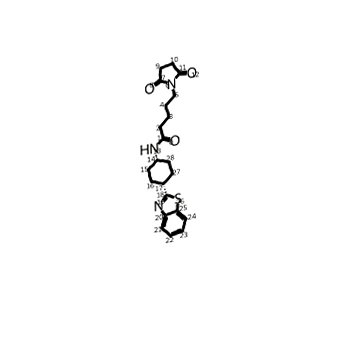 O=C(CCCCN1C(=O)CCC1=O)N[C@H]1CC[C@@H](c2nc3ccccc3s2)CC1